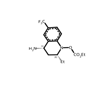 CCOC(=O)ON1c2ccc(C(F)(F)F)cc2[C@@H](N)C[C@H]1CC